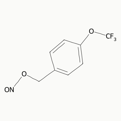 O=NOCc1ccc(OC(F)(F)F)cc1